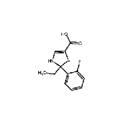 CCC1(c2ccccc2F)NC=C(C(=O)O)S1